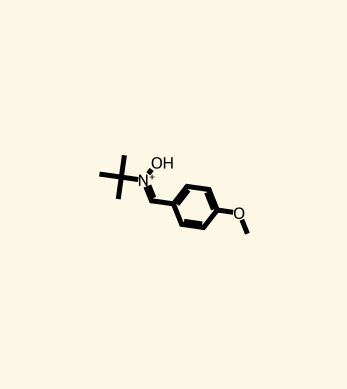 COc1ccc(/C=[N+](\O)C(C)(C)C)cc1